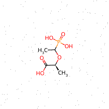 CC(O[C@@H](C)C(=O)O)P(=O)(O)O